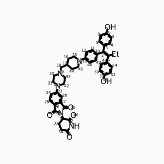 CCC(=C(c1ccc(O)cc1)c1ccc(N2CCC(CN3CCN(c4ccc5c(c4)C(=O)N(C4CCC(=O)NC4=O)C5=O)CC3)CC2)cc1)c1ccc(O)cc1